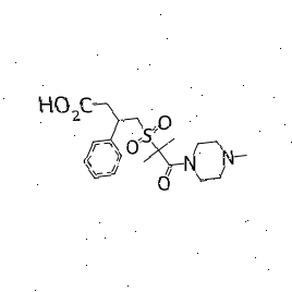 CN1CCN(C(=O)C(C)(C)S(=O)(=O)CC(CC(=O)O)c2ccccc2)CC1